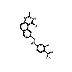 Cc1nc2ccc3ccc(CNc4ccc(C(=O)O)c(F)c4)cc3c2c(=O)[nH]1